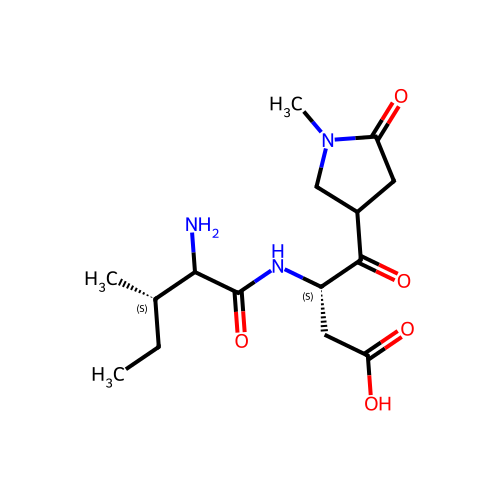 CC[C@H](C)C(N)C(=O)N[C@@H](CC(=O)O)C(=O)C1CC(=O)N(C)C1